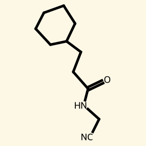 N#CCNC(=O)CCC1CCCCC1